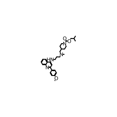 COc1ccc(-c2cc(NCCCN(C)CC3CCN(C(=O)OCC(C)C)CC3)c3ccccc3n2)cc1